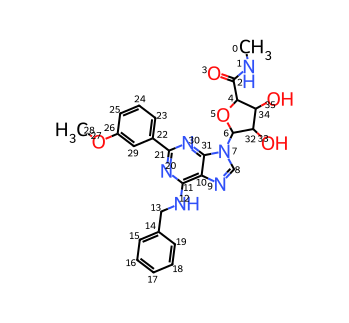 CNC(=O)C1OC(n2cnc3c(NCc4ccccc4)nc(-c4cccc(OC)c4)nc32)C(O)C1O